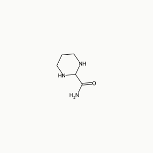 NC(=O)C1NCCCN1